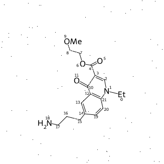 CCn1cc(C(=O)OCCOC)c(=O)c2cc(CCCN)ccc21